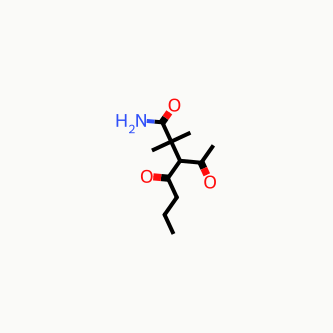 CCCC(=O)C(C(C)=O)C(C)(C)C(N)=O